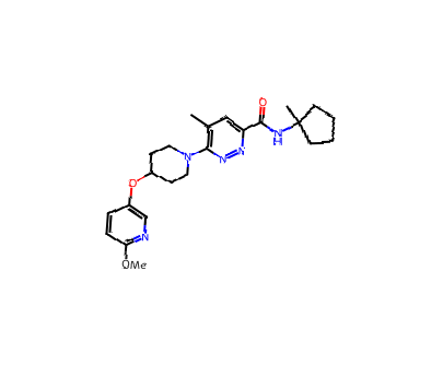 COc1ccc(OC2CCN(c3nnc(C(=O)NC4(C)CCCC4)cc3C)CC2)cn1